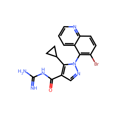 N=C(N)NC(=O)c1cnn(-c2c(Br)ccc3ncccc23)c1C1CC1